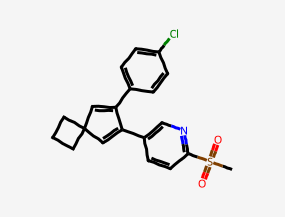 CS(=O)(=O)c1ccc(C2=CC3(C=C2c2ccc(Cl)cc2)CCC3)cn1